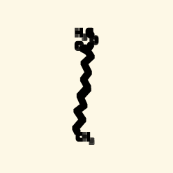 CCCCCC=CCCCCC(=O)OC